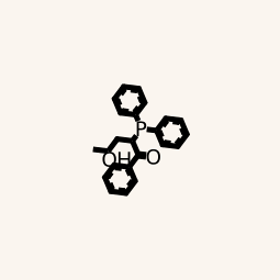 CC(O)CC(C(=O)c1ccccc1)P(c1ccccc1)c1ccccc1